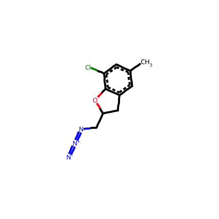 Cc1cc(Cl)c2c(c1)CC(CN=[N+]=[N-])O2